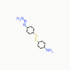 NN=Nc1ccc(SSc2ccc(N)cc2)cc1